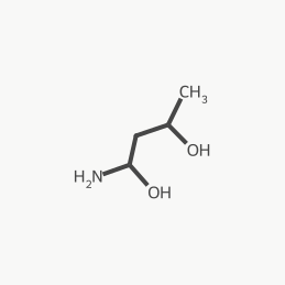 CC(O)CC(N)O